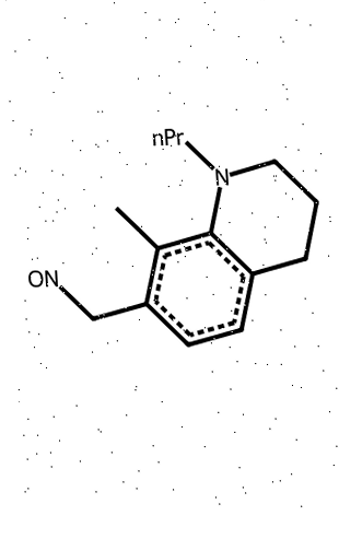 CCCN1CCCc2ccc(CN=O)c(C)c21